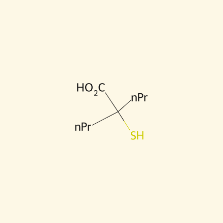 CCCC(S)(CCC)C(=O)O